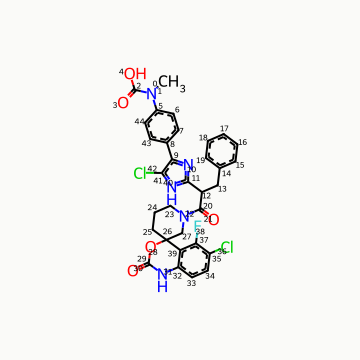 CN(C(=O)O)c1ccc(-c2nc(C(Cc3ccccc3)C(=O)N3CCCC4(C3)OC(=O)Nc3ccc(Cl)c(F)c34)[nH]c2Cl)cc1